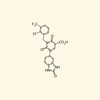 O=C(O)c1cn(-c2ccc3[nH]c(=O)[nH]c3c2)c(=O)n(Cc2cccc(C(F)(F)F)c2Cl)c1=O